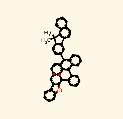 CC1(C)c2ccc(-c3c4ccccc4c(-c4ccccc4-c4cccc5c4oc4ccccc45)c4ccccc34)cc2-c2ccc3ccccc3c21